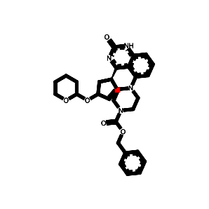 O=C(OCc1ccccc1)N1CCN(c2cccc3[nH]c(=O)nc([C@H]4C=CC(OC5CCCCO5)C4)c23)CC1